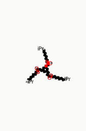 CC(C)CCCCCCCOC(=O)CCC1CC(CCC(=O)OCCCCCCCC(C)C)CC(CCC(=O)OCCCCCCCC(C)C)C1